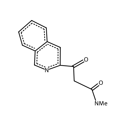 CNC(=O)CC(=O)c1cc2ccccc2cn1